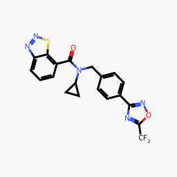 O=C(c1cccc2nnsc12)N(Cc1ccc(-c2noc(C(F)(F)F)n2)cc1)C1CC1